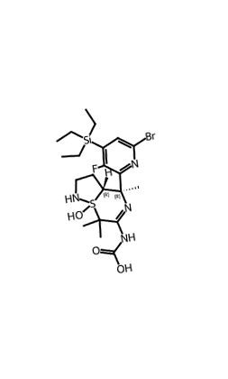 CC[Si](CC)(CC)c1cc(Br)nc([C@@]2(C)N=C(NC(=O)O)C(C)(C)S3(O)NCC[C@H]23)c1F